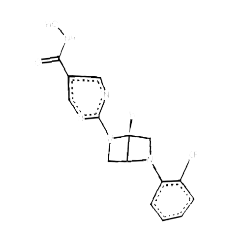 O=C(NO)c1cnc(N2CC3[C@H]2CN3c2ccccc2C(F)(F)F)nc1